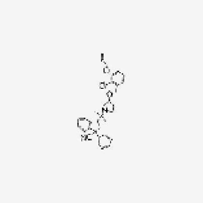 C=CCOc1cccc(COC2CCN(C(C)(C)CCC(C#N)(c3ccccc3)c3ccccc3)C2)c1Cl